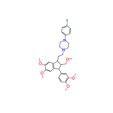 COCC1C(CCN2CCN(c3ccc(F)cc3)CC2)c2cc(OC)c(OC)cc2C1c1ccc(OC)c(OC)c1